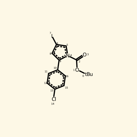 CC(C)(C)OC(=O)n1cc(I)cc1-c1ccc(Cl)cc1